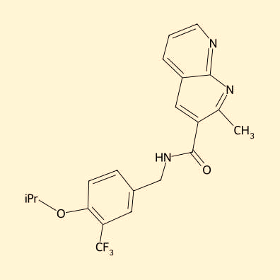 Cc1nc2ncccc2cc1C(=O)NCc1ccc(OC(C)C)c(C(F)(F)F)c1